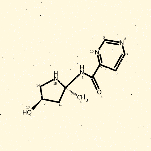 C[C@]1(NC(=O)c2ccncn2)C[C@@H](O)CN1